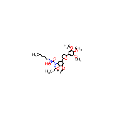 CCCCCCN(O)C(=O)Nc1cc(C2CCC(c3cc(OC)c(OC)c(OC)c3)O2)cc(OC)c1OCCC